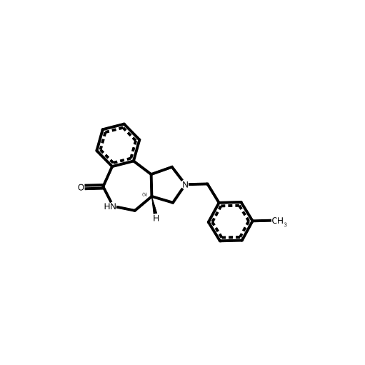 Cc1cccc(CN2CC3c4ccccc4C(=O)NC[C@H]3C2)c1